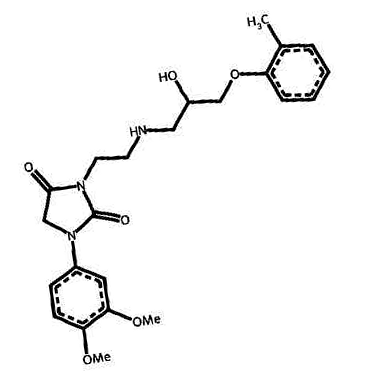 COc1ccc(N2CC(=O)N(CCNCC(O)COc3ccccc3C)C2=O)cc1OC